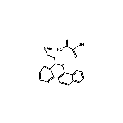 CNCCC(Oc1cccc2ccccc12)c1cccnc1.O=C(O)C(=O)O